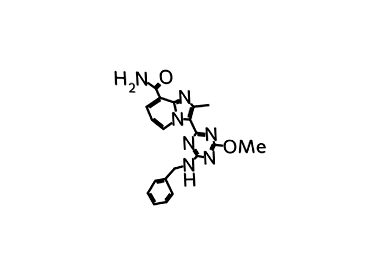 COc1nc(NCc2ccccc2)nc(-c2c(C)nc3c(C(N)=O)cccn23)n1